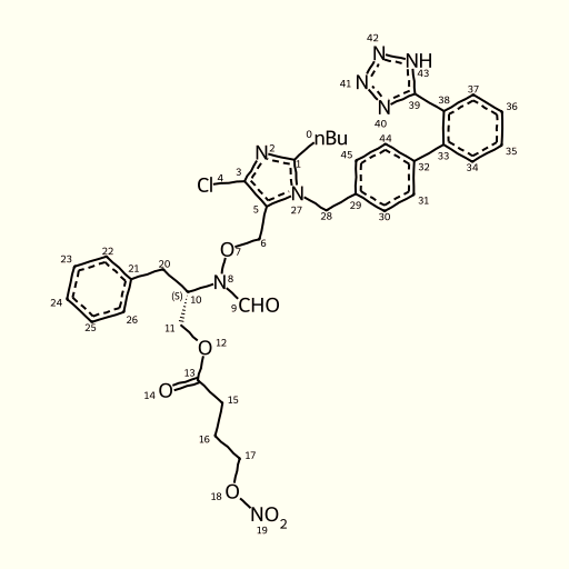 CCCCc1nc(Cl)c(CON(C=O)[C@H](COC(=O)CCCO[N+](=O)[O-])Cc2ccccc2)n1Cc1ccc(-c2ccccc2-c2nnn[nH]2)cc1